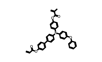 C=CC(=O)Oc1ccc(-c2ccc(N(c3ccc(OC(=O)C(=C)C)cc3)c3ccc(Oc4ccccc4)cc3)cc2)cc1